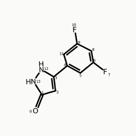 O=c1cc(-c2cc(F)cc(F)c2)[nH][nH]1